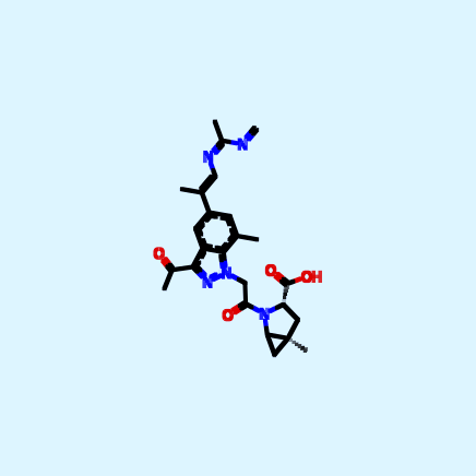 C=N/C(C)=N\C=C(/C)c1cc(C)c2c(c1)c(C(C)=O)nn2CC(=O)N1C2C[C@]2(C)C[C@H]1C(=O)O